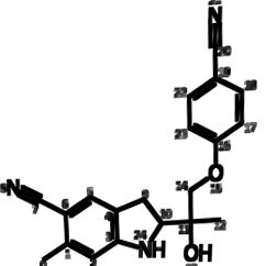 Cc1cc2c(cc1C#N)CC(C(C)(O)COc1ccc(C#N)cc1)N2